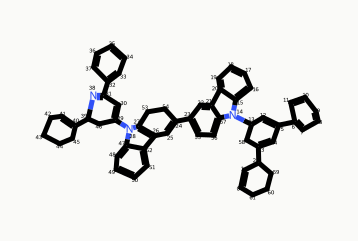 C1=CC(C2=CC(c3ccccc3)=CC(n3c4ccccc4c4cc(C5=Cc6c(n(C7=CC(c8ccccc8)=NC(C8=CCCCC8)C7)c7ccccc67)CC5)ccc43)C2)CCC1